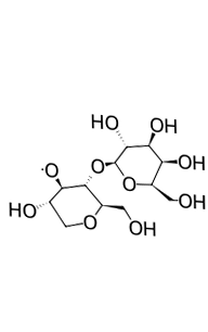 [O][C@H]1[C@H](O[C@@H]2O[C@H](CO)[C@H](O)[C@H](O)[C@H]2O)[C@@H](CO)OC[C@@H]1O